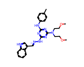 COCCN(CCOC)c1nc(N/N=C/c2c[nH]c3ccccc23)nc(Nc2ccc(C)cc2)n1